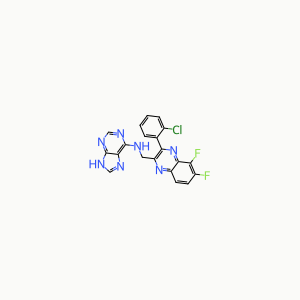 Fc1ccc2nc(CNc3ncnc4[nH]cnc34)c(-c3ccccc3Cl)nc2c1F